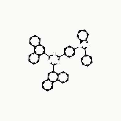 c1ccc(-c2nc3ccccc3n2-c2ccc(-c3nc(-c4cc5ccccc5c5ccccc45)nc(-c4cc5ccccc5c5ccccc45)n3)cc2)cc1